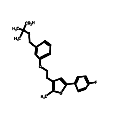 Cc1oc(-c2ccc(F)cc2)cc1CCOc1cccc(CSC(C)(C)C(=O)O)c1